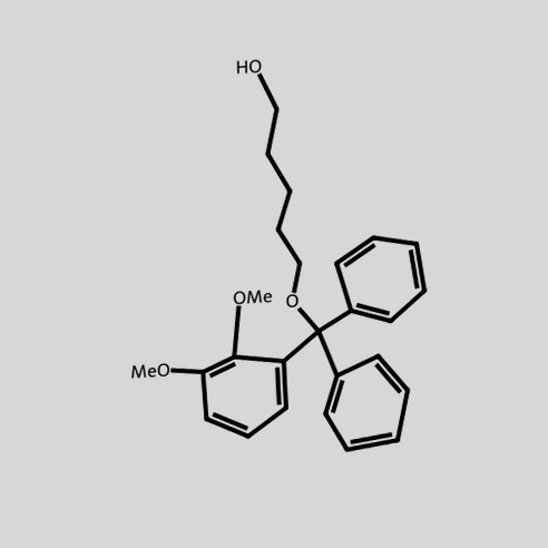 COc1cccc(C(OCCCCCO)(c2ccccc2)c2ccccc2)c1OC